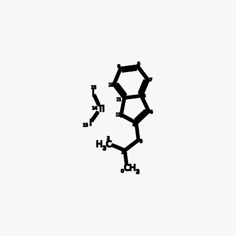 CC(C)CC1=Cc2ccccc2[CH]1.[I][Ti][I]